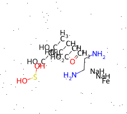 C=O.CC(=O)O.CC(=O)O.CC(=O)O.CC(=O)O.NCCN.OSO.[Fe].[NaH].[NaH]